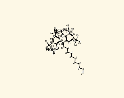 CCCCCCCCCCCC(c1cc(C(C)(C)C)cc(C(C)(C)C)c1OP(O)F)c1cc(C(C)(C)C)cc(C(C)(C)C)c1OP(O)F